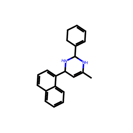 CC1=CC(c2cccc3ccccc23)NC(C2=CC=CCC2)N1